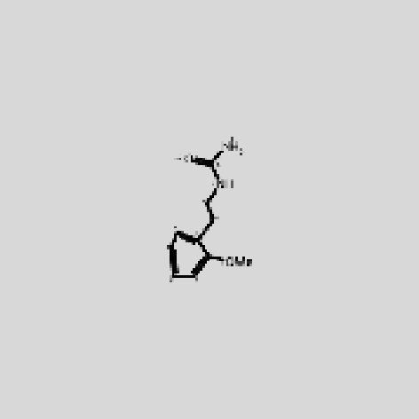 COc1ccccc1CCNC(N)=O